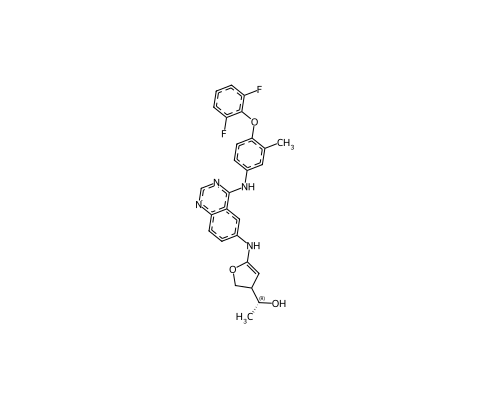 Cc1cc(Nc2ncnc3ccc(NC4=CC([C@@H](C)O)CO4)cc23)ccc1Oc1c(F)cccc1F